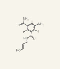 NC(=O)c1c(I)c(N)c(I)c(C(=O)NCC=CO)c1I